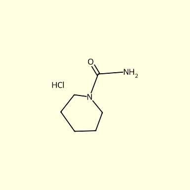 Cl.NC(=O)N1CCCCC1